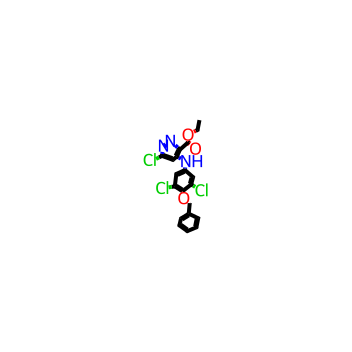 CCOC(=O)c1nnc(Cl)cc1Nc1cc(Cl)c(OCc2ccccc2)c(Cl)c1